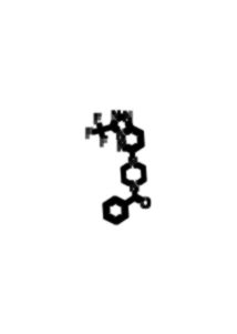 O=C(c1ccccc1)N1CCN(c2ccc3nnc(C(F)(F)F)n3n2)CC1